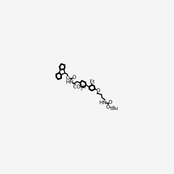 CCc1cc(OCCCCNC(=O)OC(C)(C)C)ccc1-c1ccc(C[C@H](NC(=O)OCC2c3ccccc3-c3ccccc32)C(=O)O)cc1